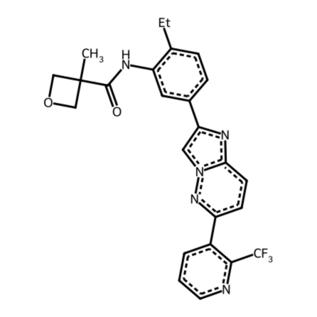 CCc1ccc(-c2cn3nc(-c4cccnc4C(F)(F)F)ccc3n2)cc1NC(=O)C1(C)COC1